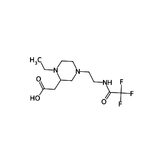 CCN1CCN(CCNC(=O)C(F)(F)F)CC1CC(=O)O